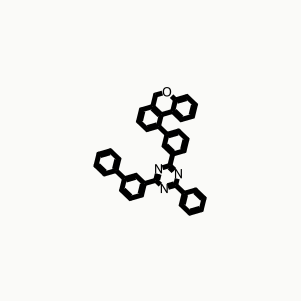 c1ccc(-c2cccc(-c3nc(-c4ccccc4)nc(-c4cccc(-c5cccc6c5-c5ccccc5OC6)c4)n3)c2)cc1